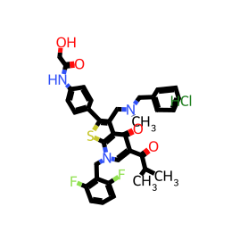 CC(C)C(=O)c1cn(Cc2c(F)cccc2F)c2sc(-c3ccc(NC(=O)CO)cc3)c(CN(C)Cc3ccccc3)c2c1=O.Cl